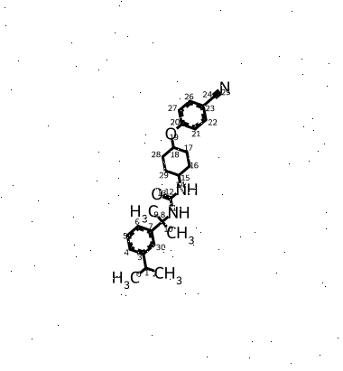 CC(C)c1cccc(C(C)(C)NC(=O)NC2CCC(Oc3ccc(C#N)cc3)CC2)c1